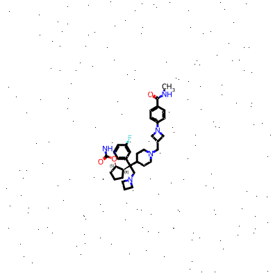 CNC(=O)c1ccc(N2CC(CN3CCC(C(CN4CCC4)(c4cccc(F)c4)[C@H]4CCC[C@@H]4OC(N)=O)CC3)C2)cc1